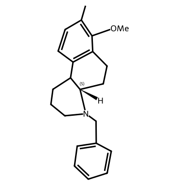 COc1c(C)ccc2c1CC[C@H]1C2CCCN1Cc1ccccc1